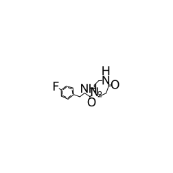 NC(Cc1ccc(F)cc1)C(=O)N1CCNC(=O)CC1